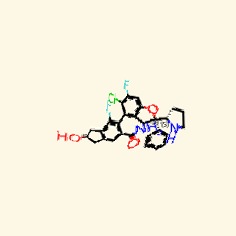 NC(=O)c1cc2c(c(F)c1-c1c(Cl)c(F)cc3c1C[C@](c1ccccc1)([C@@H]1CCCN1)O3)C[C@H](O)C2